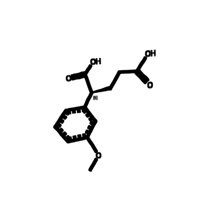 COc1cccc([C@H](CCC(=O)O)C(=O)O)c1